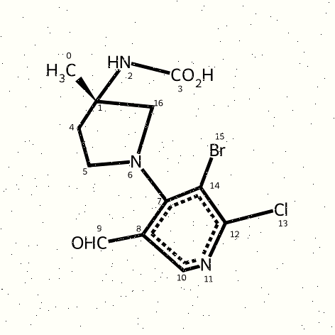 C[C@]1(NC(=O)O)CCN(c2c(C=O)cnc(Cl)c2Br)C1